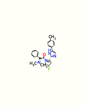 Cc1ccc(-c2cnc([C@@H]3CC(F)CN3C(=O)[C@@H](c3ccccc3)N(C)C)[nH]2)cc1